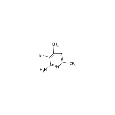 Cc1cc(C(F)(F)F)nc(N)c1Br